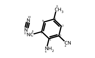 Cc1cc(C#N)c(N)c(C#N)c1.N#N